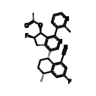 CC(=O)O[C@H]1c2c(-c3cccnc3C)ncc([C@H]3CC[C@@H](C)c4cc(F)cc(C#N)c43)c2C[C@H]1F